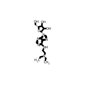 CCN(CC)CCNc1ncnc2c1ncn2[C@@H]1O[C@H](CO)C(O)C1O